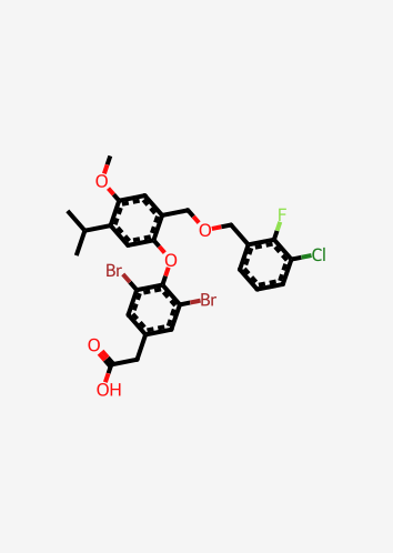 COc1cc(COCc2cccc(Cl)c2F)c(Oc2c(Br)cc(CC(=O)O)cc2Br)cc1C(C)C